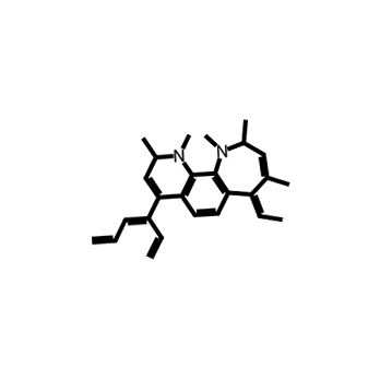 C=C/C=C(\C=C)C1=CC(C)N(C)c2c1ccc1c2N(C)C(C)C=C(C)/C1=C\C